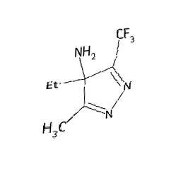 CCC1(N)C(C)=NN=C1C(F)(F)F